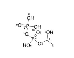 CC(O)OP(=O)(O)OP(=O)(O)O